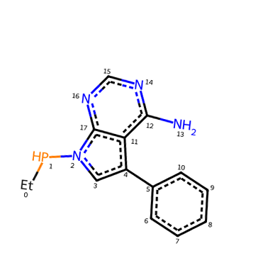 CCPn1cc(-c2ccccc2)c2c(N)ncnc21